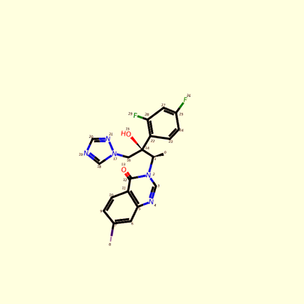 C[C@@H](n1cnc2cc(I)ccc2c1=O)[C@](O)(Cn1cncn1)c1ccc(F)cc1F